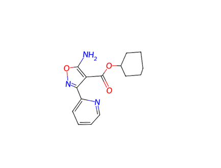 Nc1onc(-c2ccccn2)c1C(=O)OC1CCCCC1